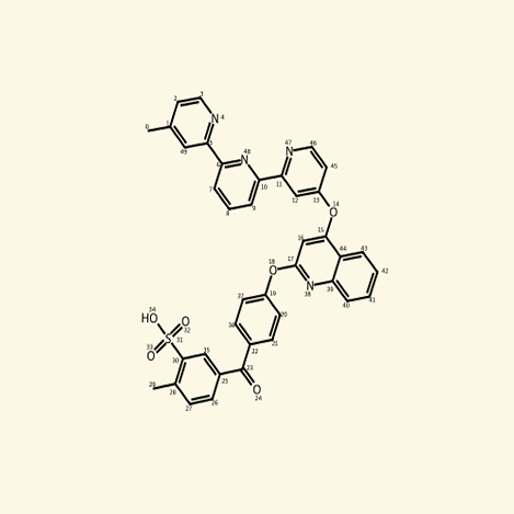 Cc1ccnc(-c2cccc(-c3cc(Oc4cc(Oc5ccc(C(=O)c6ccc(C)c(S(=O)(=O)O)c6)cc5)nc5ccccc45)ccn3)n2)c1